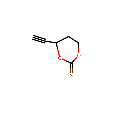 C#CC1CCOC(=S)O1